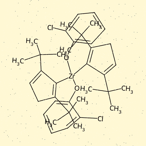 CC(C)(C)C1=CCC(C(C)(C)C)=[C]1[Zr]([O]c1ccccc1Cl)([O]c1ccccc1Cl)[C]1=C(C(C)(C)C)CC=C1C(C)(C)C